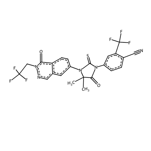 CC1(C)C(=O)N(c2ccc(C#N)c(C(F)(F)F)c2)C(=S)N1c1ccc2c(=O)n(CC(F)(F)F)ncc2c1